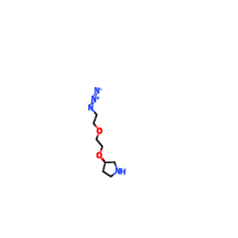 [N-]=[N+]=NCCOCCO[C@@H]1CCNC1